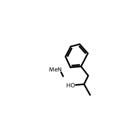 CC(O)Cc1ccccc1.CNC